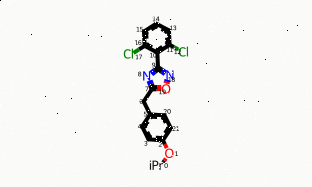 CC(C)Oc1ccc(Cc2nc(-c3c(Cl)cccc3Cl)no2)cc1